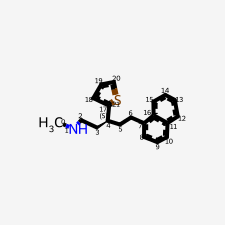 CNCC[C@H](CCc1cccc2ccccc12)c1cccs1